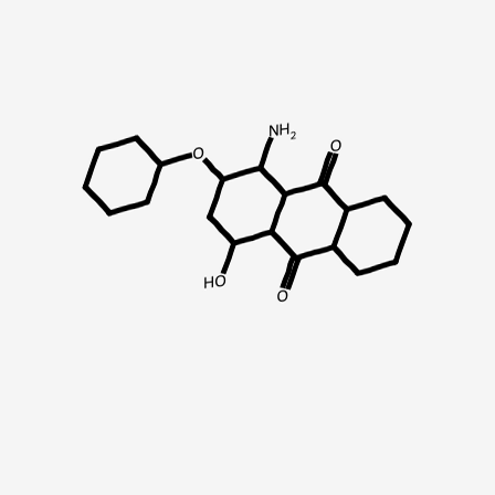 NC1C(OC2CCCCC2)CC(O)C2C(=O)C3CCCCC3C(=O)C12